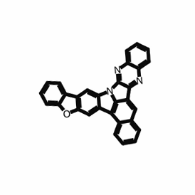 c1ccc2c(c1)cc1c3nc4ccccc4nc3n3c4cc5c(cc4c2c13)oc1ccccc15